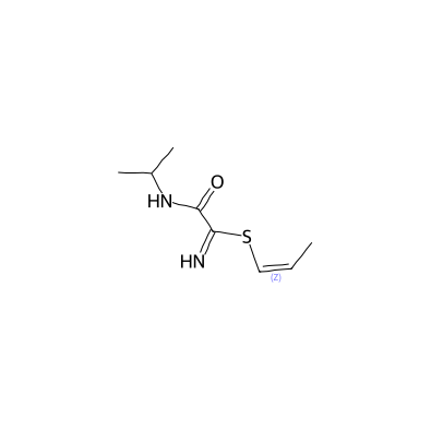 C/C=C\SC(=N)C(=O)NC(C)C